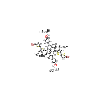 CCCCC(CC)COc1ccc(-c2cc3c(-c4cc(CC(CC)CCCC)c(-c5ccc(Br)s5)s4)c4cccc5c(-c6ccc(OCC(CC)CCCC)cc6)cc6c(-c7cc(CC(CC)CCCC)c(-c8ccc(Br)s8)s7)c7cccc2c7c3c6c54)cc1